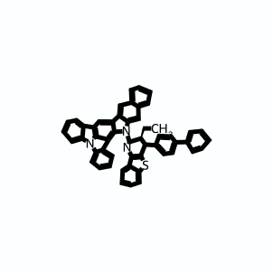 CC[C@@H]1C(n2c3cc4ccccc4cc3c3cc4c5ccccc5n5c6ccccc6c(c32)c45)=Nc2c(sc3ccccc23)C1c1ccc(-c2ccccc2)cc1